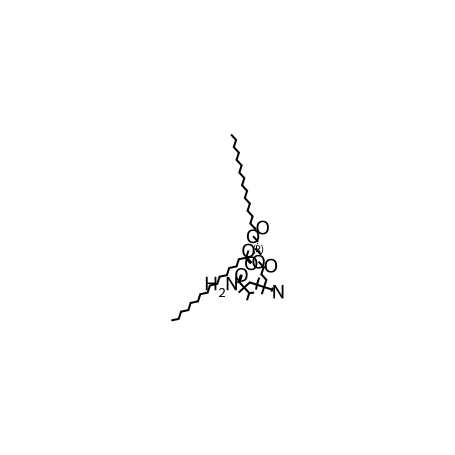 CCCCCCCCCCCCCCCC(=O)OC[C@H](COC(=O)CCC(C)(C#N)C(C)(C)CC(C)(C(N)=O)C(C)C)OC(=O)CCCCCCCCCCCCCCC